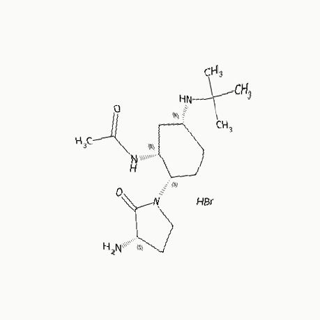 Br.CC(=O)N[C@@H]1C[C@H](NC(C)(C)C)CC[C@@H]1N1CC[C@H](N)C1=O